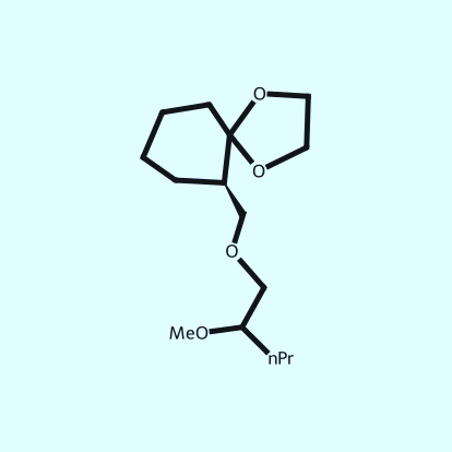 CCCC(COC[C@H]1CCCCC12OCCO2)OC